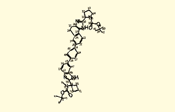 CN(C(=O)OC(C)(C)C)C1(c2nc3ccc(-c4ccc(-c5ccc6c(c5)CCc5nc(C7CCCN7C(=O)OC(C)(C)C)[nH]c5-6)cc4)cc3[nH]2)CCC1